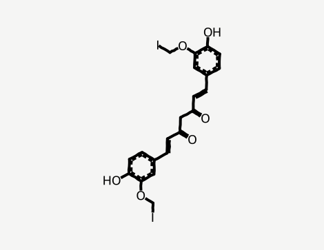 O=C(/C=C/c1ccc(O)c(OCI)c1)CC(=O)/C=C/c1ccc(O)c(OCI)c1